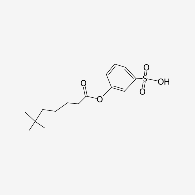 CC(C)(C)CCCCC(=O)Oc1cccc(S(=O)(=O)O)c1